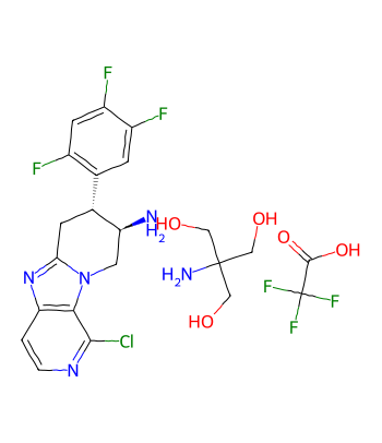 NC(CO)(CO)CO.N[C@H]1Cn2c(nc3ccnc(Cl)c32)C[C@@H]1c1cc(F)c(F)cc1F.O=C(O)C(F)(F)F